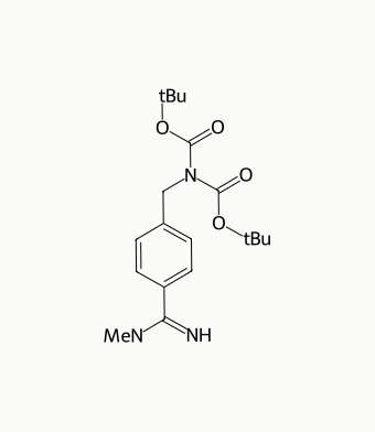 CNC(=N)c1ccc(CN(C(=O)OC(C)(C)C)C(=O)OC(C)(C)C)cc1